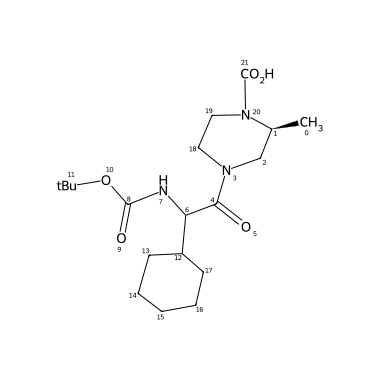 C[C@H]1CN(C(=O)C(NC(=O)OC(C)(C)C)C2CCCCC2)CCN1C(=O)O